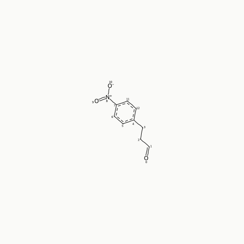 O=CCCc1ccc([N+](=O)[O-])cc1